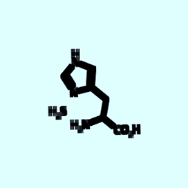 NC(Cc1c[nH]cn1)C(=O)O.S